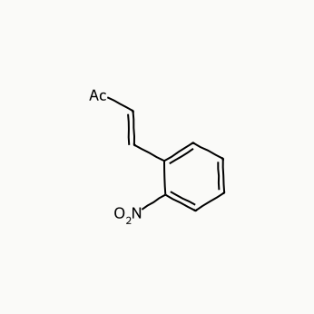 CC(=O)C=Cc1ccccc1[N+](=O)[O-]